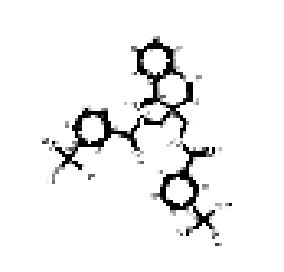 O=C(OCC1(COC(=O)c2cccc(C(F)(F)F)c2)COc2ccccc2C1=O)c1cccc(C(F)(F)F)c1